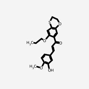 CCCOc1cc2c(cc1C(=O)/C=C/c1ccc(OC)c(O)c1)OCCS2